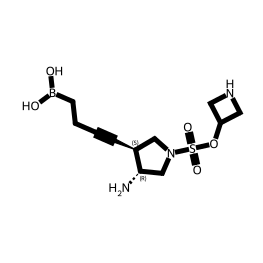 N[C@H]1CN(S(=O)(=O)OC2CNC2)C[C@@H]1C#CCCB(O)O